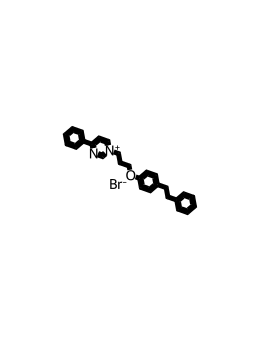 [Br-].c1ccc(CCc2ccc(OCCC[n+]3ccc(-c4ccccc4)nc3)cc2)cc1